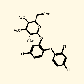 CC(=O)OC[C@H]1O[C@@H](Oc2cc(Cl)ccc2Oc2ccc(Cl)cc2Cl)[C@H](OC(C)=O)[C@@H](OC(C)=O)[C@H]1OC(C)=O